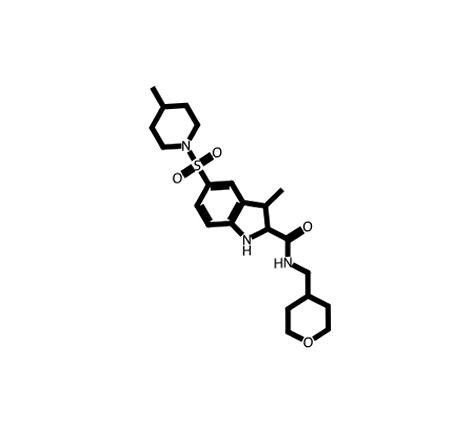 CC1CCN(S(=O)(=O)c2ccc3c(c2)C(C)C(C(=O)NCC2CCOCC2)N3)CC1